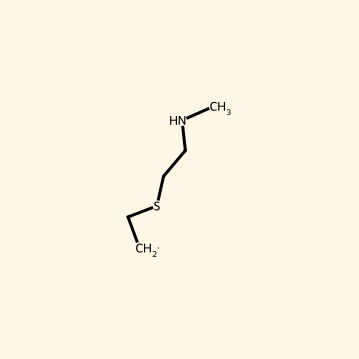 [CH2]CSCCNC